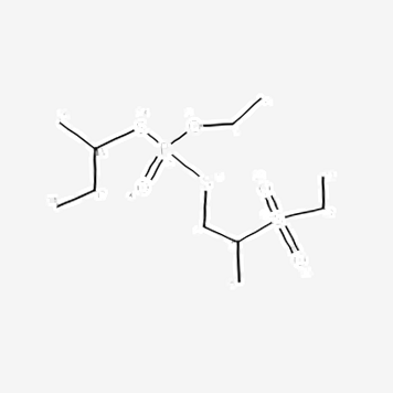 CCOP(=O)(SCC(C)S(=O)(=O)CC)SC(C)CC